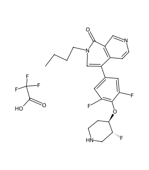 CCCCn1cc(-c2cc(F)c(O[C@@H]3CCNC[C@H]3F)c(F)c2)c2ccncc2c1=O.O=C(O)C(F)(F)F